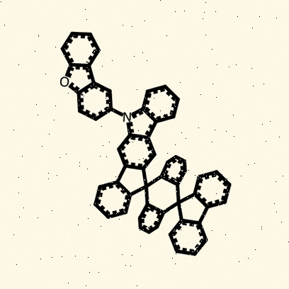 c1ccc2c(c1)-c1ccccc1C21c2ccccc2C2(c3ccccc3-c3cc4c(cc32)c2ccccc2n4-c2ccc3oc4ccccc4c3c2)c2ccccc21